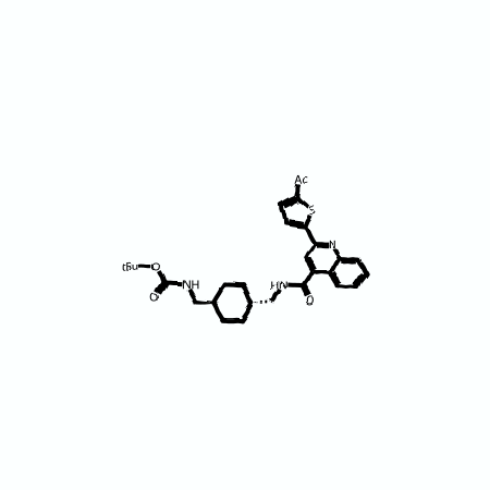 CC(=O)c1ccc(-c2cc(C(=O)NC[C@H]3CC[C@H](CNC(=O)OC(C)(C)C)CC3)c3ccccc3n2)s1